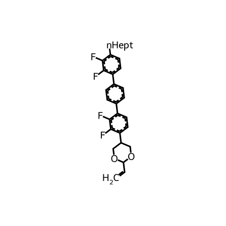 C=CC1OCC(c2ccc(-c3ccc(-c4ccc(CCCCCCC)c(F)c4F)cc3)c(F)c2F)CO1